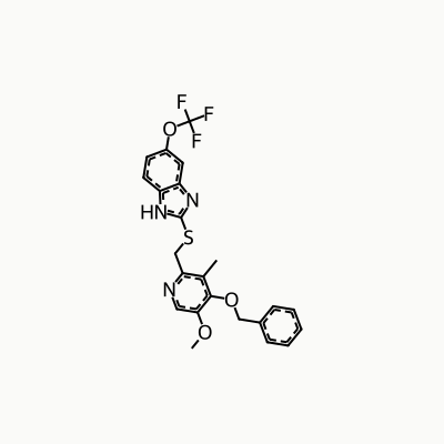 COc1cnc(CSc2nc3cc(OC(F)(F)F)ccc3[nH]2)c(C)c1OCc1ccccc1